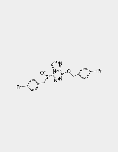 CC(C)c1ccc(COc2nnc([S+]([O-])Cc3ccc(C(C)C)cc3)n3ccnc23)cc1